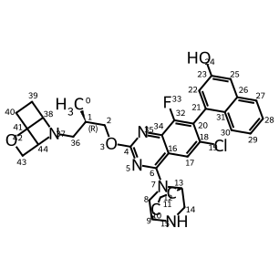 C[C@@H](COc1nc(N2CC3CCCC2CN3)c2cc(Cl)c(-c3cc(O)cc4ccccc34)c(F)c2n1)CN1C2CCC23OCC13